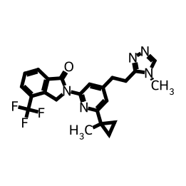 Cn1cnnc1CCc1cc(N2Cc3c(cccc3C(F)(F)F)C2=O)nc(C2(C)CC2)c1